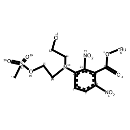 CC(C)(C)OC(=O)c1c([N+](=O)[O-])ccc(N(CCCl)CCOS(C)(=O)=O)c1[N+](=O)[O-]